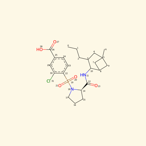 CCCC1CC2(C)CC(C2)C1NC(=O)[C@H]1CCCN1S(=O)(=O)c1ccc(C(=O)O)cc1Cl